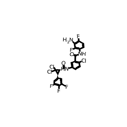 Nc1c(F)ccc(NC(=O)c2cc(NC(=O)[C@@H]3[C@@H](c4cc(F)c(F)c(F)c4)C3(Cl)Cl)ccc2Cl)c1F